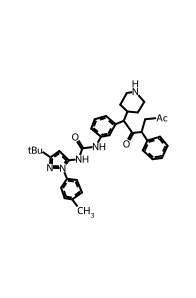 CC(=O)CC(C(=O)C(c1cccc(NC(=O)Nc2cc(C(C)(C)C)nn2-c2ccc(C)cc2)c1)C1CCNCC1)c1ccccc1